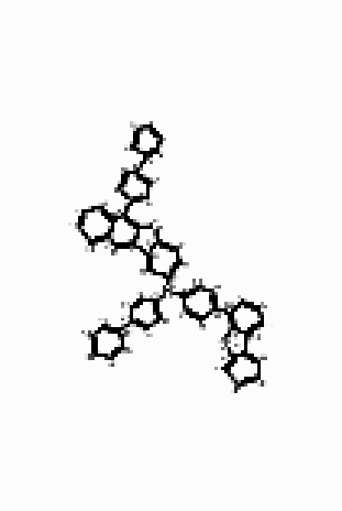 c1ccc(-c2ccc(-c3c4ccccc4cc4c3oc3ccc(N(c5ccc(-c6ccccc6)cc5)c5ccc(-c6cccc7c6sc6ccccc67)cc5)cc34)cc2)cc1